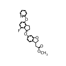 COC(=O)CC1COc2cc(O[C@@H]3CCc4c(Oc5ccccn5)ccc(F)c43)ccc21